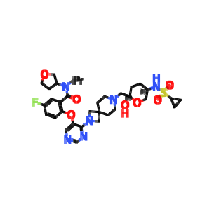 CC(C)N(C(=O)c1cc(F)ccc1Oc1cncnc1N1CC2(CCN(C[C@@]3(O)CC[C@@H](NS(=O)(=O)C4CC4)CO3)CC2)C1)C1CCOC1